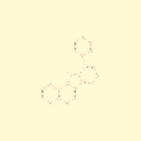 CCn1c2c3c(ccc2c2ccc4ccccc4c21)Cc1ccccc1-3